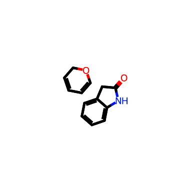 C1=CCOC=C1.O=C1Cc2ccccc2N1